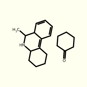 CC1NC2CCCCC2=C2C=CC=CC21.O=C1CCCCC1